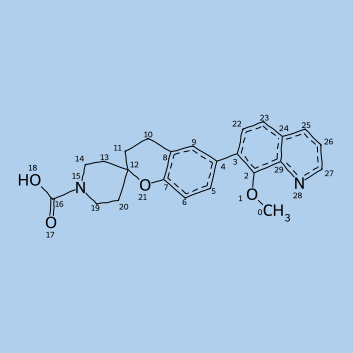 COc1c(-c2ccc3c(c2)CCC2(CCN(C(=O)O)CC2)O3)ccc2cccnc12